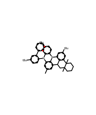 Cc1cc2c3c(c1)N(c1ccc(C(C)(C)C)cc1-c1ccccc1)c1cc(C(C)(C)C)ccc1B3c1cc(C(C)(C)C)cc3c1C2CC1(C)CCCCC31C